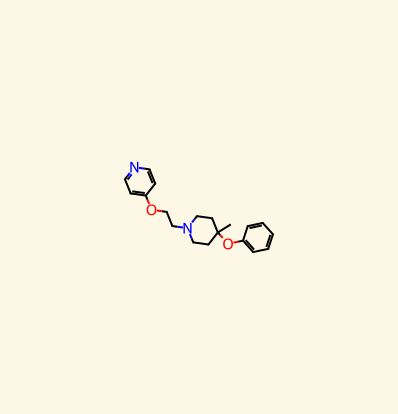 CC1(Oc2ccccc2)CCN(CCOc2ccncc2)CC1